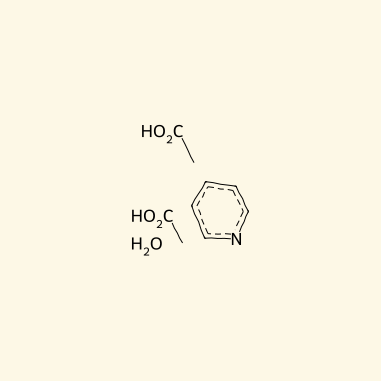 CC(=O)O.CC(=O)O.O.c1ccncc1